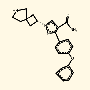 NC(=O)c1cn([C@H]2C[C@]3(CCNC3)C2)nc1-c1ccc(Oc2ccccc2)cc1